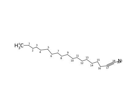 CCCCCCCCCCCCCCCCCC#C[N]